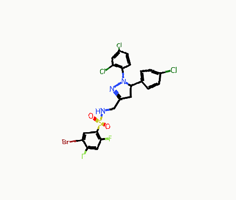 O=S(=O)(NCC1=NN(c2ccc(Cl)cc2Cl)C(c2ccc(Cl)cc2)C1)c1cc(Br)c(F)cc1F